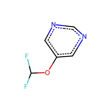 FC(F)Oc1cncnc1